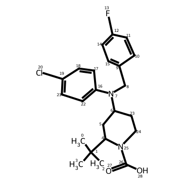 CC(C)(C)C1CC(N(Cc2ccc(F)cc2)c2ccc(Cl)cc2)CCN1C(=O)O